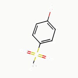 CC(C)S(=O)(=O)c1ccc([O])cc1